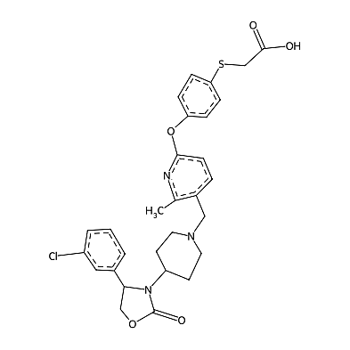 Cc1nc(Oc2ccc(SCC(=O)O)cc2)ccc1CN1CCC(N2C(=O)OCC2c2cccc(Cl)c2)CC1